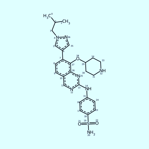 CC(C)Cn1cc(-c2ccc3cnc(Nc4ccc(S(N)(=O)=O)cc4)nc3c2OC2CCNCC2)cn1